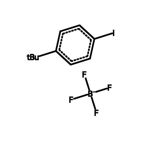 CC(C)(C)c1ccc(I)cc1.F[B-](F)(F)F